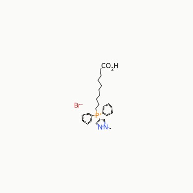 Cn1cc([P+](CCCCCCCCCC(=O)O)(c2ccccc2)c2ccccc2)cn1.[Br-]